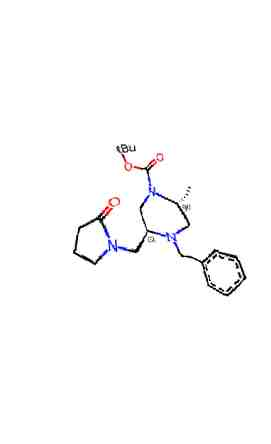 C[C@@H]1CN(Cc2ccccc2)[C@@H](CN2CCCC2=O)CN1C(=O)OC(C)(C)C